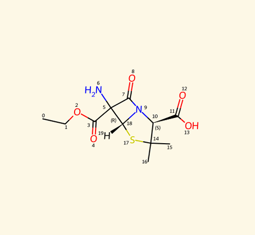 CCOC(=O)C1(N)C(=O)N2[C@@H](C(=O)O)C(C)(C)S[C@@H]21